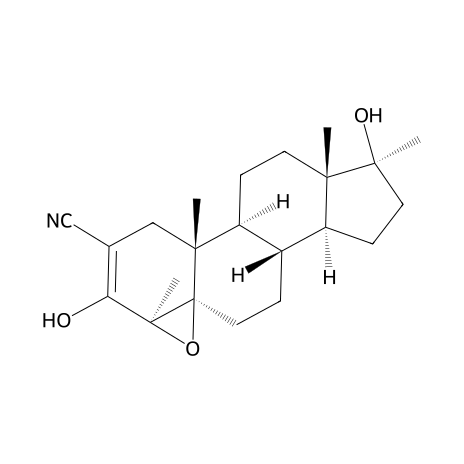 C[C@]1(O)CC[C@H]2[C@@H]3CC[C@]45O[C@@]4(C)C(O)=C(C#N)C[C@]5(C)[C@H]3CC[C@@]21C